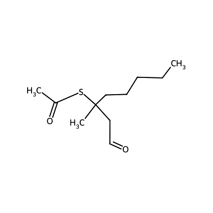 CCCCCC(C)(CC=O)SC(C)=O